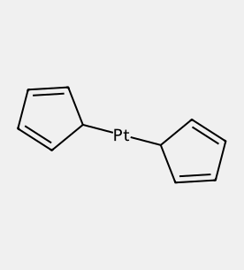 C1=C[CH]([Pt][CH]2C=CC=C2)C=C1